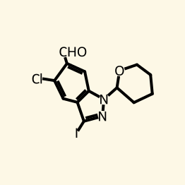 O=Cc1cc2c(cc1Cl)c(I)nn2C1CCCCO1